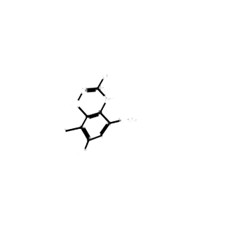 COc1cc(Cl)c(C)c2c1NC(Br)=NS2